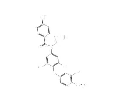 COc1ccc(Oc2c(Cl)cc(N(CC(=O)O)C(=O)c3ccc(C(F)(F)F)cc3)cc2Cl)cc1C(C)C